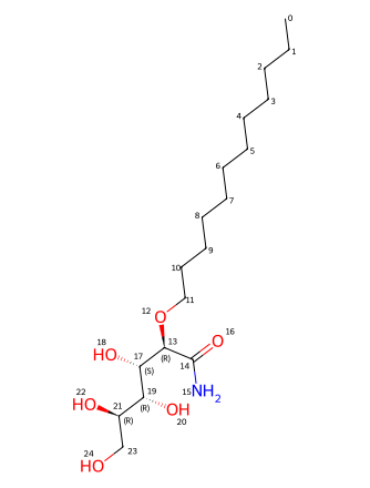 CCCCCCCCCCCCO[C@@H](C(N)=O)[C@@H](O)[C@H](O)[C@H](O)CO